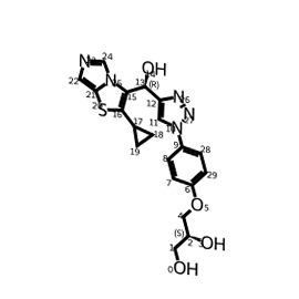 OC[C@H](O)COc1ccc(-n2cc([C@H](O)c3c(C4CC4)sc4cncn34)nn2)cc1